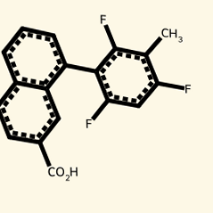 Cc1c(F)cc(F)c(-c2cccc3ccc(C(=O)O)cc23)c1F